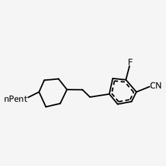 CCCCCC1CCC(CCc2ccc(C#N)c(F)c2)CC1